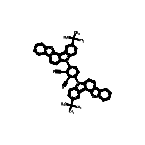 CC(C)(C)c1ccc2c(c1)c1c3oc4ccccc4c3ccc1n2-c1ccc(-n2c3ccc(C(C)(C)C)cc3c3c4oc5ccccc5c4ccc32)c(C#N)c1C#N